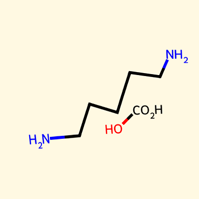 NCCCCCN.O=C(O)O